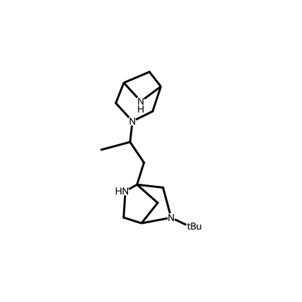 CC(CC12CC(CN1)N(C(C)(C)C)C2)N1CC2CC(C1)N2